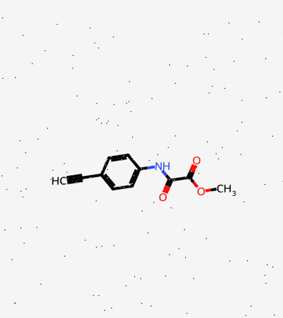 C#Cc1ccc(NC(=O)C(=O)OC)cc1